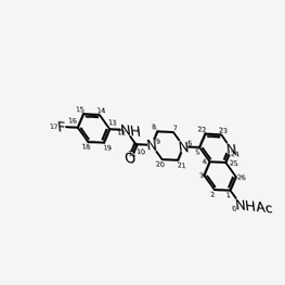 CC(=O)Nc1ccc2c(N3CCN(C(=O)Nc4ccc(F)cc4)CC3)ccnc2c1